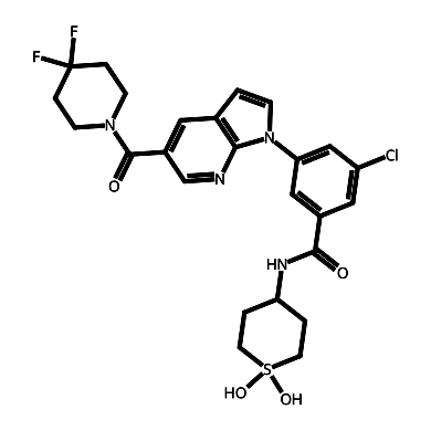 O=C(NC1CCS(O)(O)CC1)c1cc(Cl)cc(-n2ccc3cc(C(=O)N4CCC(F)(F)CC4)cnc32)c1